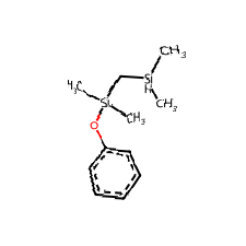 C[SiH](C)C[Si](C)(C)Oc1ccccc1